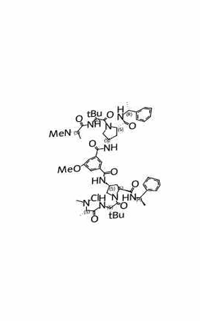 CN[C@@H](C)C(=O)N[C@H](C(=O)N1C[C@@H](NC(=O)c2cc(OC)cc(C(=O)N[C@H]3C[C@@H](C(=O)N[C@H](C)c4ccccc4)N(C(=O)[C@@H](NC(=O)[C@H](C)N(C)Cl)C(C)(C)C)C3)c2)C[C@H]1C(=O)N[C@H](C)c1ccccc1)C(C)(C)C